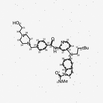 CNC(=O)n1ccc2cc(N(CCC(C)(C)C)c3ccnc(NC(=O)c4ccc(CN5CCN(CCO)CC5)cc4)c3)ccc21